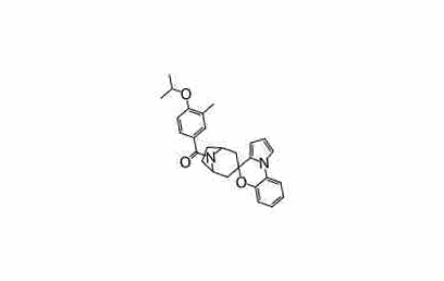 Cc1cc(C(=O)N2C3CCC2CC2(C3)Oc3ccccc3-n3cccc32)ccc1OC(C)C